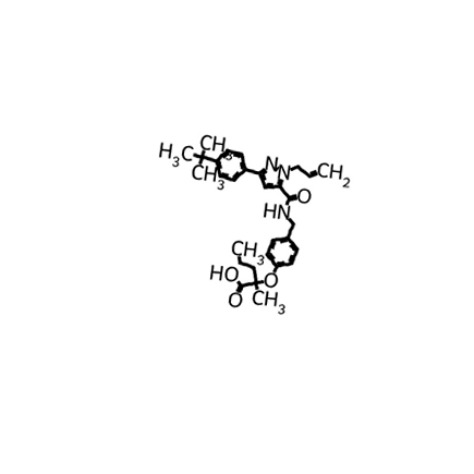 C=CCn1nc(-c2ccc(C(C)(C)C)cc2)cc1C(=O)NCc1ccc(OC(C)(CCC)C(=O)O)cc1